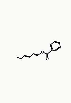 CC/C=C/C=C/OC(=O)c1ccccc1